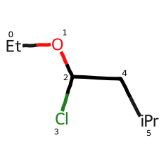 CCOC(Cl)CC(C)C